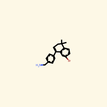 CC1(C)CC=C(c2ccc(CN)cc2)c2cc(Br)ccc21